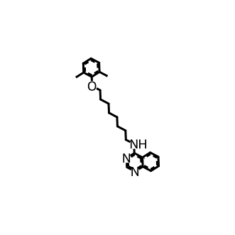 Cc1cccc(C)c1OCCCCCCCCNc1ncnc2ccccc12